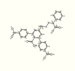 O=C(O)c1c(-c2ccc([N+](=O)[O-])cc2)cc(NCCN(c2ccccn2)[N+](=O)[O-])nc1-c1ccc([N+](=O)[O-])cc1